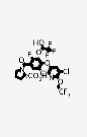 O=C(O)C(F)(F)F.O=C(O)[C@@H]1CCCN1C(=O)c1cc(Cl)c(Oc2cnc(OCC(F)(F)F)c(Cl)c2)cc1F